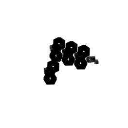 C.c1ccc2c(c1)sc1ccccc12.c1ccc2c(c1)sc1ccccc12.c1ccc2c(c1)sc1ccccc12.c1ccc2c(c1)sc1ccccc12